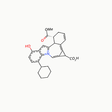 COC(=O)[C@@H]1CC=CC2=C3C(=Cn4c(cc5c(O)ccc(C6CCCCC6)c54)C21)C3C(=O)O